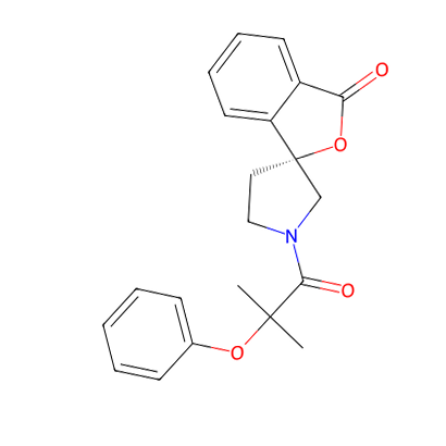 CC(C)(Oc1ccccc1)C(=O)N1CC[C@@]2(C1)OC(=O)c1ccccc12